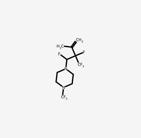 C=C(C)C(F)(C(F)N1CCN(C(F)(F)F)CC1)C(F)(F)F